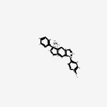 C[C@]12Cc3cnn(-c4ccc(F)cc4)c3C=C1CC[C@@]2(O)c1ccccc1